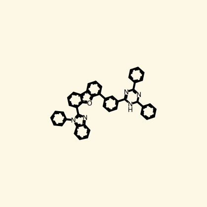 c1ccc(C2=NC(c3ccccc3)NC(c3cccc(-c4cccc5c4oc4c(-c6nc7ccccc7n6-c6ccccc6)cccc45)c3)=N2)cc1